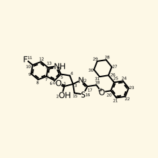 O=C(O)C1(Cc2cc3ccc(F)cc3[nH]2)CSC(COc2ccccc2C2CCCCC2)=N1